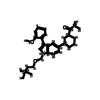 COc1ccccc1-c1cn(COCC[Si](C)(C)C)c2ncc(N3CCCC(C(=O)N(C)C)C3)cc12